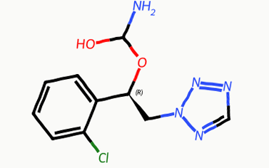 NC(O)O[C@@H](Cn1ncnn1)c1ccccc1Cl